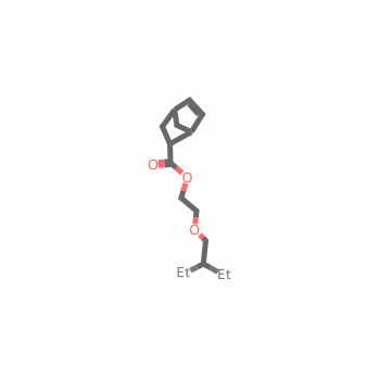 CCC(CC)COCCOC(=O)C1CC2C=CC1C2